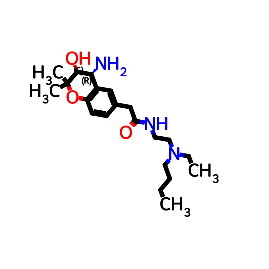 CCCCN(CC)CCNC(=O)Cc1ccc2c(c1)[C@@H](N)[C@H](O)C(C)(C)O2